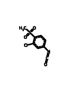 CS(=O)(=O)c1ccc(N=C=O)cc1Cl